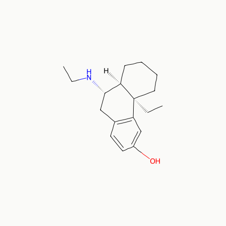 CCN[C@H]1Cc2ccc(O)cc2[C@]2(CC)CCCC[C@H]12